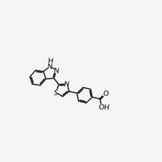 O=C(O)c1ccc(-c2csc(-c3n[nH]c4ccccc34)n2)cc1